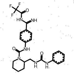 N=C(NC(=O)C(F)(F)F)c1ccc(NC(=O)N2CCCCC2CNC(=O)Nc2ccccc2)cc1